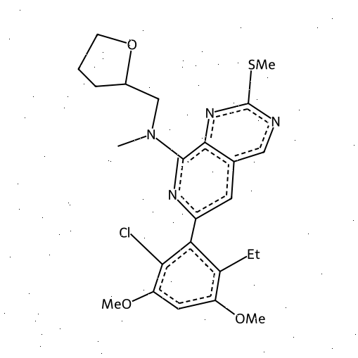 CCc1c(OC)cc(OC)c(Cl)c1-c1cc2cnc(SC)nc2c(N(C)CC2CCCO2)n1